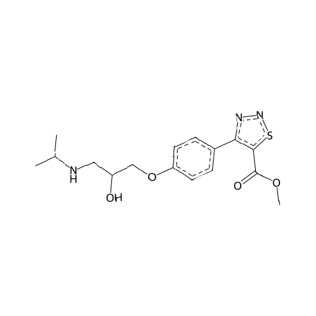 COC(=O)c1snnc1-c1ccc(OCC(O)CNC(C)C)cc1